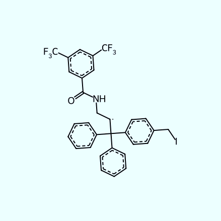 O=C(NC[CH]C(c1ccccc1)(c1ccccc1)c1ccc(CI)cc1)c1cc(C(F)(F)F)cc(C(F)(F)F)c1